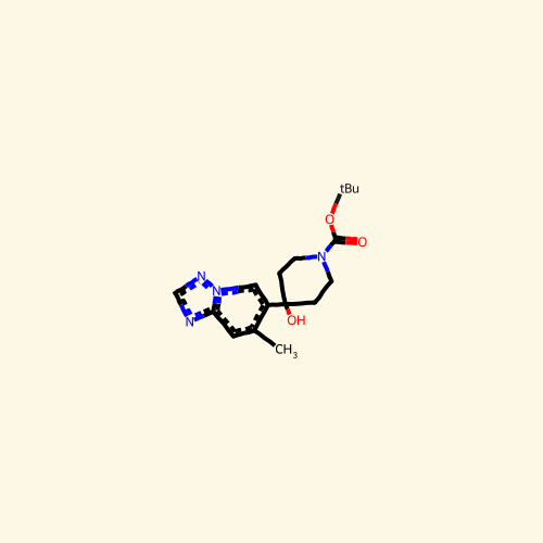 Cc1cc2ncnn2cc1C1(O)CCN(C(=O)OC(C)(C)C)CC1